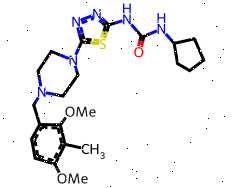 COc1ccc(CN2CCN(c3nnc(NC(=O)NC4CCCC4)s3)CC2)c(OC)c1C